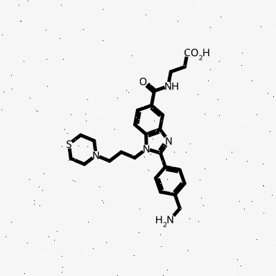 NCc1ccc(-c2nc3cc(C(=O)NCCC(=O)O)ccc3n2CCCN2CCSCC2)cc1